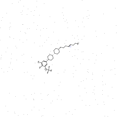 FCC/C=C/CCC[C@H]1CC[C@H](C2CCC(c3cc(F)c(F)c(OC(F)(F)F)c3)CC2)CC1